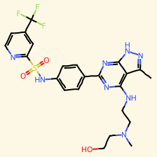 Cc1n[nH]c2nc(-c3ccc(NS(=O)(=O)c4cc(C(F)(F)F)ccn4)cc3)nc(NCCN(C)CCO)c12